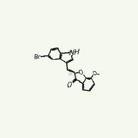 COc1cccc2c1O/C(=C\c1c[nH]c3ccc(Br)cc13)C2=O